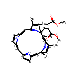 COC(=O)CCC1=C(C)C2=NC1(CCC(=O)OC)C(C)=C1NC(C)(C=C3C=CC(=N3)C=c3ccc([nH]3)=C2)C=C1C